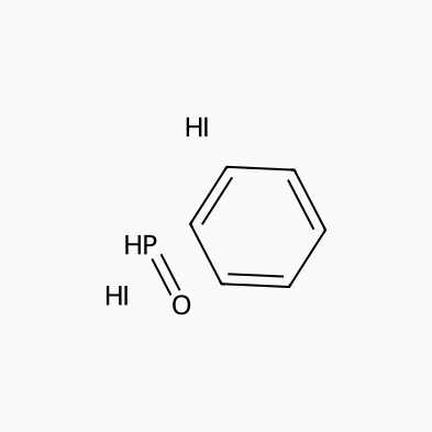 I.I.O=P.c1ccccc1